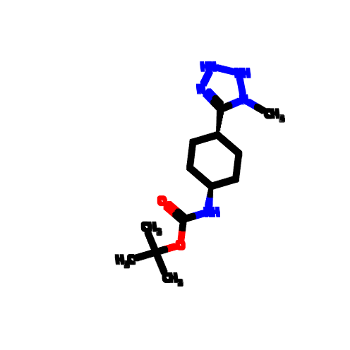 CN1NNN=C1[C@H]1CC[C@H](NC(=O)OC(C)(C)C)CC1